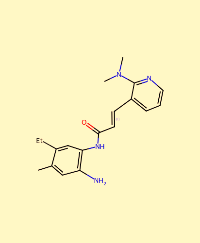 CCc1cc(NC(=O)/C=C/c2cccnc2N(C)C)c(N)cc1C